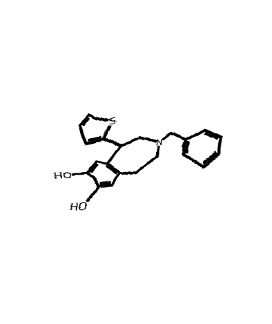 Oc1cc2c(cc1O)C(c1cccs1)CN(Cc1ccccc1)CC2